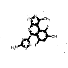 Cc1n[nH]c2nc(-c3nnc(N)s3)c3c(F)cc(O)c(F)c3c12